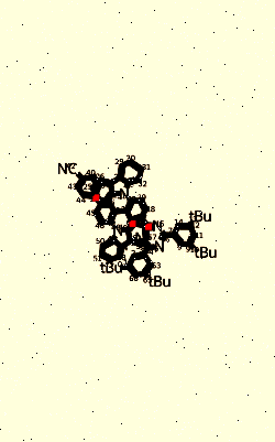 CC(C)(C)c1cc(-c2nc(-c3cc(C(C)(C)C)cc(C(C)(C)C)c3)nc(-c3ccc(-n4c5ccccc5c5ccccc54)c(-c4cc(-c5ccc(C#N)cc5)ccc4-n4c5ccccc5c5ccccc54)c3)n2)cc(C(C)(C)C)c1